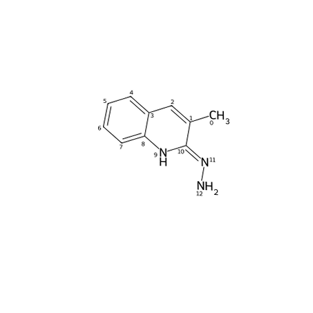 Cc1cc2ccccc2[nH]c1=NN